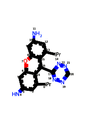 CC(C)c1cc(=N)cc2oc3cc(N)cc(C(C)C)c3c(-c3nncnn3)c1-2